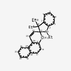 CCN1c2ccccc2C(CC)(CC)C12C=Cc1c(ccc3ccccc13)O2